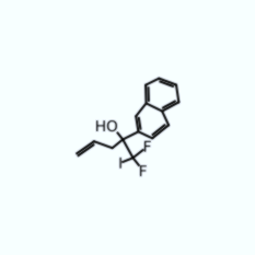 C=CCC(O)(c1ccc2ccccc2c1)C(F)(F)I